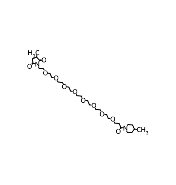 CC1CCN(C(=O)CCOCCOCCOCCOCCOCCOCCOCCOCCN2C(=O)CC(C)C2=O)CC1